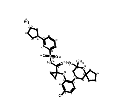 CC1(C)CN(c2ccc(Cl)cc2OC2(C(=O)NS(=O)(=O)c3cccc(N4CC[C@H](O)C4)n3)CC2)CC2(CCCC2)O1